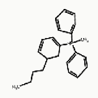 CCCCC1C=CC=C([PH](C)(c2ccccc2)c2ccccc2)C1